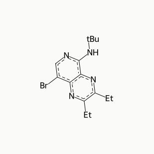 CCc1nc2c(Br)cnc(NC(C)(C)C)c2nc1CC